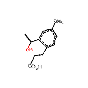 COc1ccc(CCC(=O)O)c(C(C)O)c1